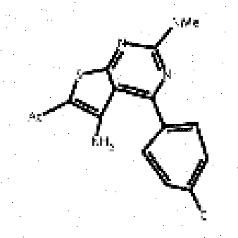 CNc1nc(-c2ccc(Cl)cc2)c2c(N)c(C(C)=O)sc2n1